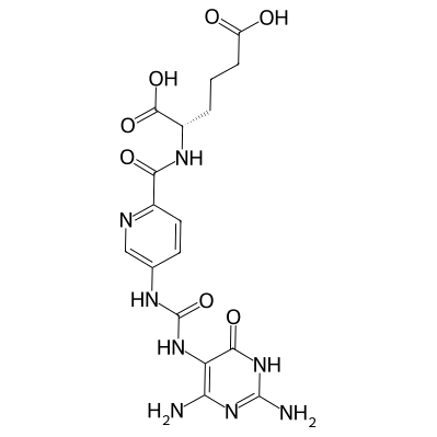 Nc1nc(N)c(NC(=O)Nc2ccc(C(=O)N[C@@H](CCCC(=O)O)C(=O)O)nc2)c(=O)[nH]1